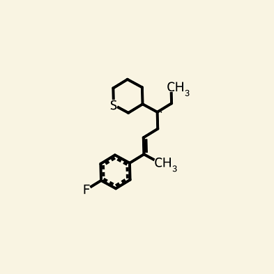 CC[C](CC=C(C)c1ccc(F)cc1)C1CCCSC1